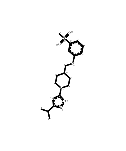 CC(C)c1noc(N2CCC(COc3c[c]cc(S(C)(=O)=O)c3)CC2)n1